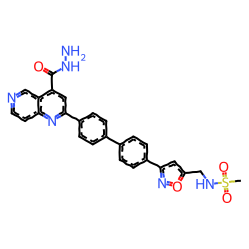 CS(=O)(=O)NCc1cc(-c2ccc(-c3ccc(-c4cc(C(=O)NN)c5cnccc5n4)cc3)cc2)no1